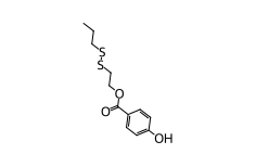 CCCSSCCOC(=O)c1ccc(O)cc1